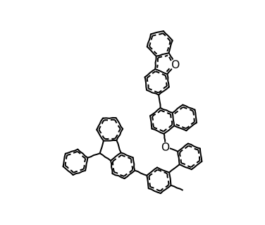 Cc1ccc(-c2ccc3c(c2)-c2ccccc2C3c2ccccc2)cc1-c1ccccc1Oc1ccc(-c2ccc3c(c2)oc2ccccc23)c2ccccc12